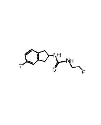 O=C(NCCF)NC1Cc2ccc(F)cc2C1